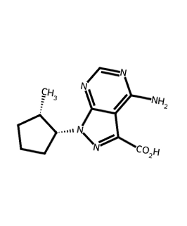 C[C@H]1CCC[C@H]1n1nc(C(=O)O)c2c(N)ncnc21